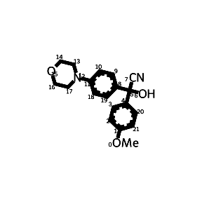 COc1ccc(C(O)(C#N)c2ccc(N3CCOCC3)cc2)cc1